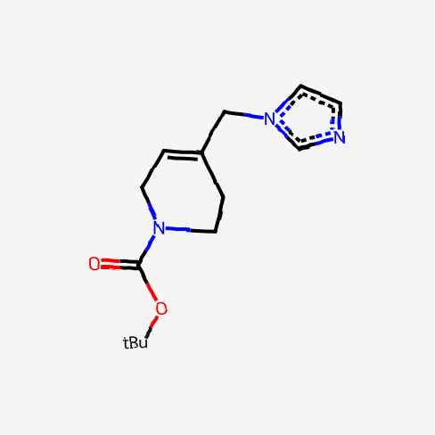 CC(C)(C)OC(=O)N1CC=C(Cn2ccnc2)CC1